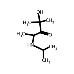 CC(C)NC(C)C(=O)C(C)(C)O